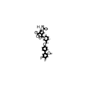 COc1cc(F)c(F)cc1-c1ccc(OCC2CCCN(C(=O)C3CN(C(N)=O)CC3C(=O)O)C2)cc1